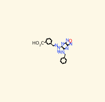 O=C(O)c1cccc(C=NNc2nc3nonc3nc2NCc2ccccc2)c1